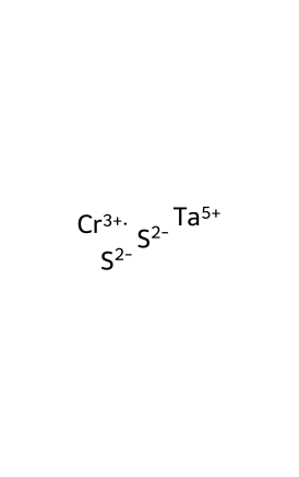 [Cr+3].[S-2].[S-2].[Ta+5]